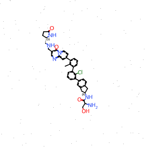 Cc1c(-c2ccn3c(=O)c(CNC[C@@H]4CCC(=O)N4)cnc3c2)cccc1-c1cccc(-c2ccc3c(c2)C[C@H](NC(=O)C(N)CO)C3)c1Cl